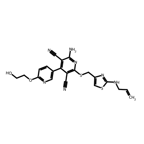 C=CCNc1nc(CSc2nc(N)c(C#N)c(-c3ccc(OCCO)nc3)c2C#N)cs1